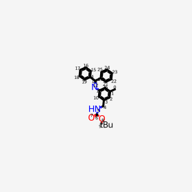 Cc1cc(CNC(=O)OC(C)(C)C)cc(N=C(c2ccccc2)c2ccccc2)c1